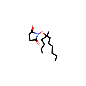 CCCCCCC(C)(CCCC)ON1C(=O)CCC1=O